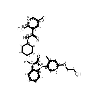 Cc1cc(OCCO)ncc1-n1c(=O)n(C[C@H]2CC[C@H](NC(=O)c3cc(Cl)cnc3C(F)(F)F)CC2)c2ccccc21